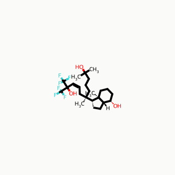 CC(C)(O)CCC[C@](C)(CC=CC(O)(C(F)(F)F)C(F)(F)F)[C@H]1CC[C@H]2[C@@H](O)CCC[C@]12C